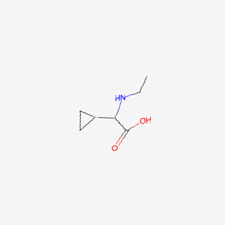 CCNC(C(=O)O)C1CC1